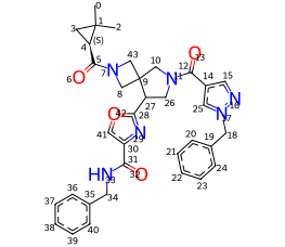 CC1(C)C[C@@H]1C(=O)N1CC2(CN(C(=O)c3cnn(Cc4ccccc4)c3)CC2c2nc(C(=O)NCc3ccccc3)co2)C1